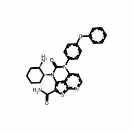 NC(=O)c1sc2nccc3c2c1N([C@H]1CCCC[C@H]1N)C(=O)N3c1ccc(Oc2ccccc2)cc1